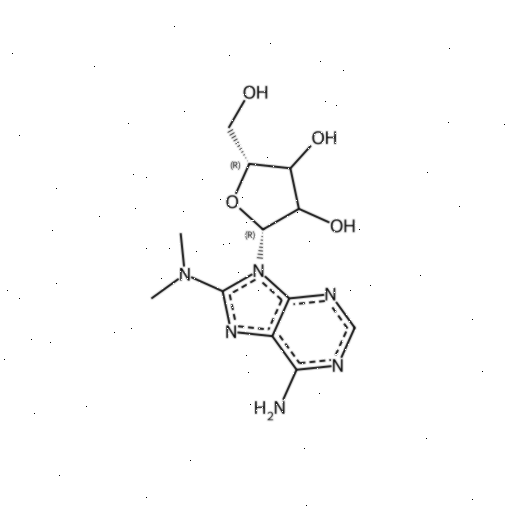 CN(C)c1nc2c(N)ncnc2n1[C@@H]1O[C@H](CO)C(O)C1O